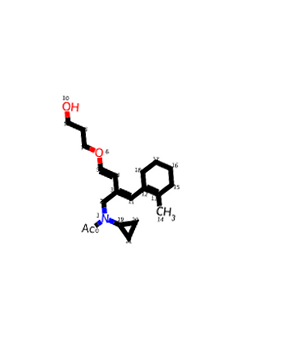 CC(=O)N(CC(/C=C/OCCCO)=C/C1=C(C)CCCC1)C1CC1